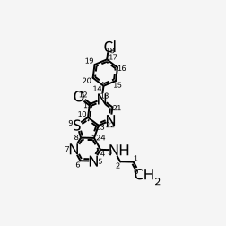 C=CCNc1ncnc2sc3c(=O)n(-c4ccc(Cl)cc4)cnc3c12